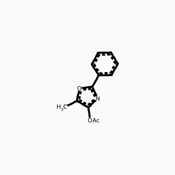 CC(=O)Oc1nc(-c2ccccc2)oc1C